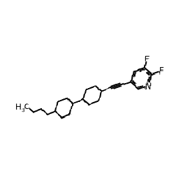 CCCCC1CCC(C2CCC(C#Cc3cnc(F)c(F)c3)CC2)CC1